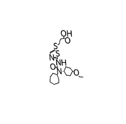 CCO[C@H]1CC[C@H](N(C(=O)Nc2ncc(SCCC(=O)O)s2)C2CCCCCC2)CC1